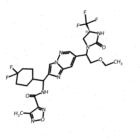 CCOCC(c1cnn2cc(C(NC(=O)c3nonc3C)C3CCC(F)(F)CC3)nc2c1)N1C[C@@H](C(F)(F)F)NC1=O